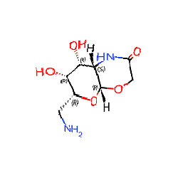 NC[C@H]1O[C@H]2OCC(=O)N[C@H]2[C@@H](O)[C@H]1O